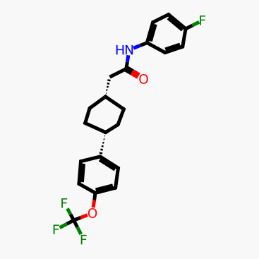 O=C(C[C@H]1CC[C@@H](c2ccc(OC(F)(F)F)cc2)CC1)Nc1ccc(F)cc1